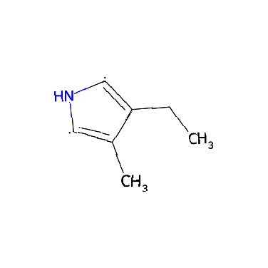 CCc1[c][nH][c]c1C